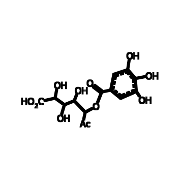 CC(=O)C(OC(=O)c1cc(O)c(O)c(O)c1)C(O)C(O)C(O)C(=O)O